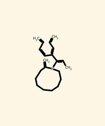 C=C\C=C/C(=C\C=C)C(=C/C)/N1CCCCCCCCC1=C